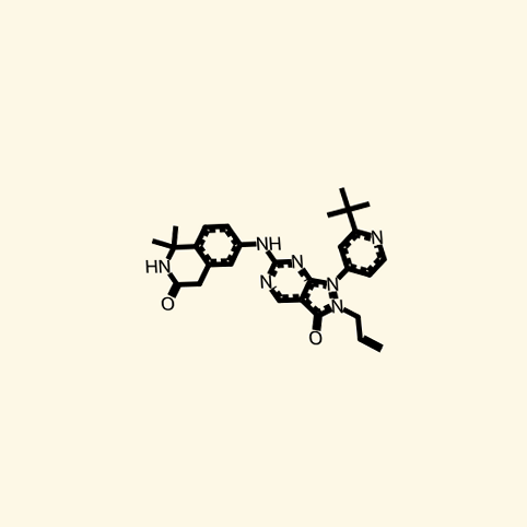 C=CCn1c(=O)c2cnc(Nc3ccc4c(c3)CC(=O)NC4(C)C)nc2n1-c1ccnc(C(C)(C)C)c1